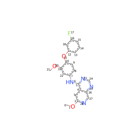 COc1cc2c(Nc3ccc(Oc4cccc(F)c4)c(OC)c3)ncnc2cn1